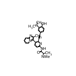 CNC(C)C(=O)Nc1ccc(-c2c(C)nc3ccccn23)c(C#Cc2ccc(O)c(N(C)C)c2)n1